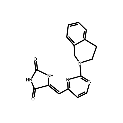 O=C1NC(=O)C(=Cc2ccnc(N3CCc4ccccc4C3)n2)N1